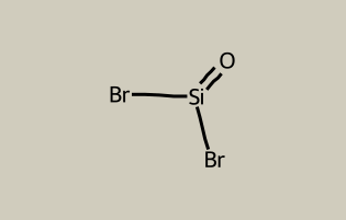 O=[Si](Br)Br